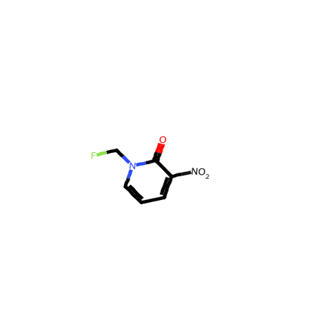 O=c1c([N+](=O)[O-])cccn1CF